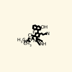 CN(C)C1CN(c2nc(N3C4CCC3CNC4)c3cc(CCC#N)c(-c4cc(O)cc5ccccc45)c(F)c3c2Cl)C1